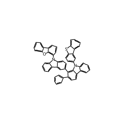 c1ccc(-c2ccc3c4ccccc4n(-c4ccc5sc6ccccc6c5c4)c3c2-c2ccc3c(c2)c2ccccc2n3-c2cccc3c2oc2ccccc23)cc1